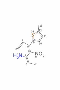 C=C/C(=C(\C(N)=C/C)[N+](=O)[O-])c1ccc(C)s1